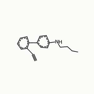 C#Cc1ccccc1-c1ccc(NCCCC)cc1